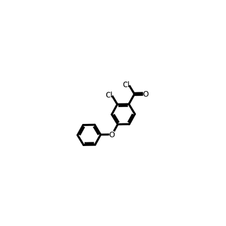 O=C(Cl)c1ccc(Oc2ccccc2)cc1Cl